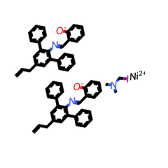 C=CCc1cc(-c2ccccc2)c(N=Cc2ccccc2[O-])c(-c2ccccc2)c1.C=CCc1cc(-c2ccccc2)c(N=Cc2ccccc2[O-])c(-c2ccccc2)c1.CN(C)CI.[Ni+2]